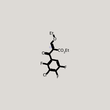 CCO/C=C(\C(=O)OCC)C(=O)c1cc(F)c(F)c(Cl)c1F